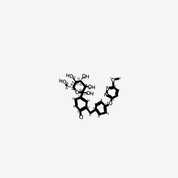 COc1ccc(Oc2ccc(Cc3cc([C@]4(O)O[C@H](CO)[C@@H](O)[C@H](O)[C@H]4O)ccc3Cl)cc2)nn1